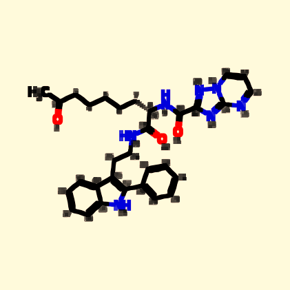 CC(=O)CCCCC[C@H](NC(=O)c1nc2ncccn2n1)C(=O)NCCc1c(-c2ccccc2)[nH]c2ccccc12